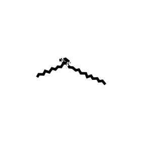 CCCCCCCCCCCCC[n+]1ccn(C)c1CCCCCCCCC